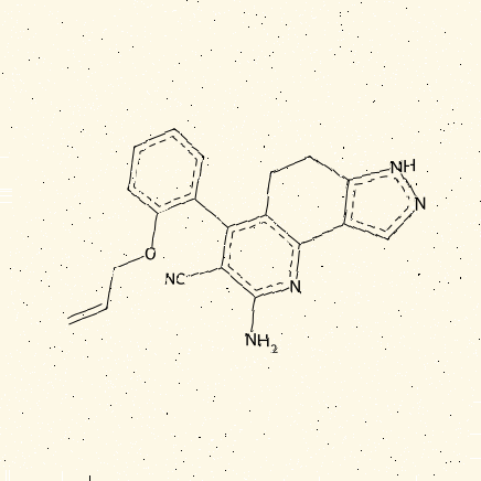 C=CCOc1ccccc1-c1c(C#N)c(N)nc2c1CCc1[nH]ncc1-2